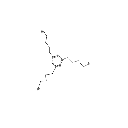 BrCCCCc1nc(CCCCBr)nc(CCCCBr)n1